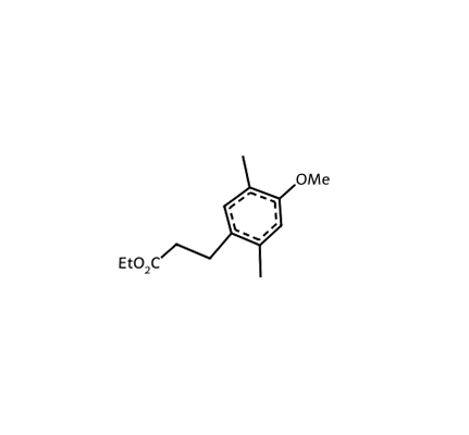 CCOC(=O)CCc1cc(C)c(OC)cc1C